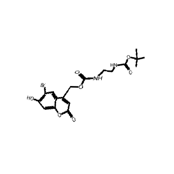 CC(C)(C)OC(=O)NCCNC(=O)OCc1cc(=O)oc2cc(O)c(Br)cc12